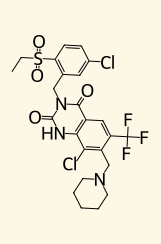 CCS(=O)(=O)c1ccc(Cl)cc1Cn1c(=O)[nH]c2c(Cl)c(CN3CCCCC3)c(C(F)(F)F)cc2c1=O